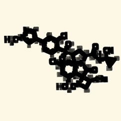 Cn1cc(-c2ccc(S(=O)(=O)[C@@H]3C[C@@H](C(=O)NC4(C#N)CC4)N(C(=O)C4(c5ncc(Cl)cc5F)C(C(C)(C)C)CN4C(=O)O)C3)c(Cl)c2)cn1